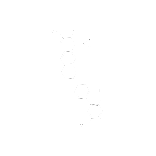 COC(=O)C(C)C(c1ccc2c(c1)O[C@H](c1ccc(-c3cc(OC)ncc3F)c(C=O)c1)CC2)C1CC1